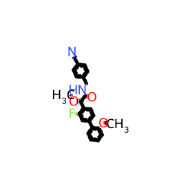 COc1ccccc1-c1ccc([C@H](OC)C(=O)NCc2ccc(C#N)cc2)c(F)c1